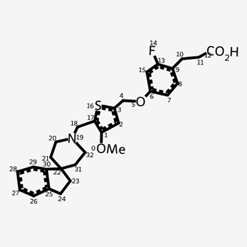 COc1cc(COc2ccc(CCC(=O)O)c(F)c2)sc1CN1CCC2(CCc3ccccc32)CC1